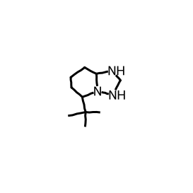 CC(C)(C)C1CCCC2NCNN21